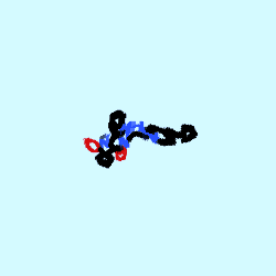 CN1C(=O)c2ccccc2C(C(=O)NCCCN2CCC(Cc3ccccc3)CC2)C1c1c[nH]c2ccccc12